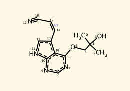 CC(C)(O)COc1ncnc2[nH]cc(/C=C\C#N)c12